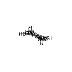 O=S(=O)(Nc1ccc(O)cc1)c1ccc(-c2ccc(S(=O)(=O)Nc3ccc(O)cc3)cc2)cc1